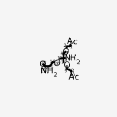 CC(=O)CCOCC(N)(COCCC(C)=O)COCCC(N)=O